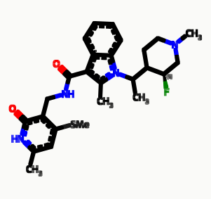 CSc1cc(C)[nH]c(=O)c1CNC(=O)c1c(C)n(C(C)C2CCN(C)C[C@H]2F)c2ccccc12